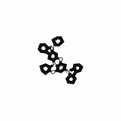 c1ccc(-n2c3ccccc3c3cc4c(cc32)Oc2cc(-n3c5ccccc5c5ccccc53)cc3c2P4c2ccccc2O3)cc1